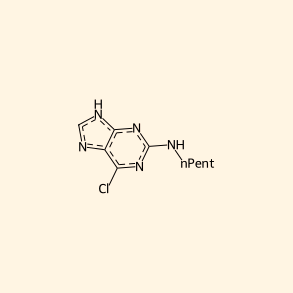 CCCCCNc1nc(Cl)c2nc[nH]c2n1